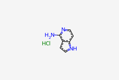 Cl.Nc1nccc2[nH]ccc12